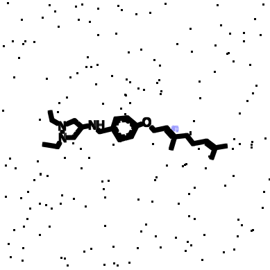 CCN1CC(NCc2ccc(OC/C=C(\C)CCC=C(C)C)cc2)CN1CC